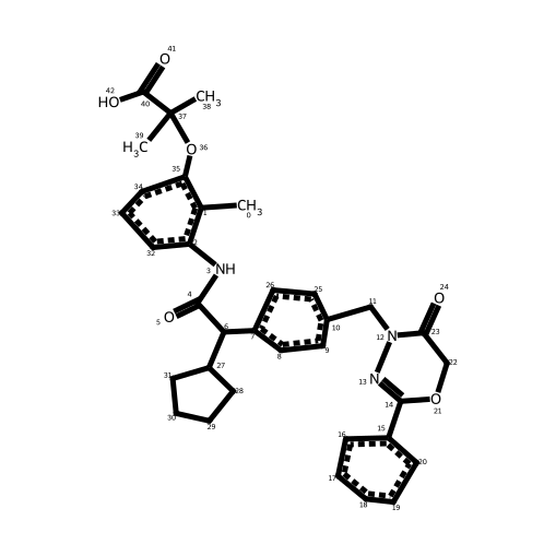 Cc1c(NC(=O)C(c2ccc(CN3N=C(c4ccccc4)OCC3=O)cc2)C2CCCC2)cccc1OC(C)(C)C(=O)O